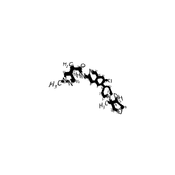 C=C(C(=O)Nc1cc2cc(C3CCN(C4(C)COCC4O)CC3)c(Cl)cc2cn1)c1cnn(C)c1